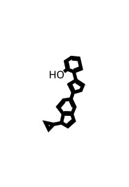 Oc1ccccc1C1=CCC(c2ccc3c(c2)C=CC3C2CC2)=C1